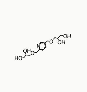 OCC(O)COCc1ccc(COCC(O)CO)nc1